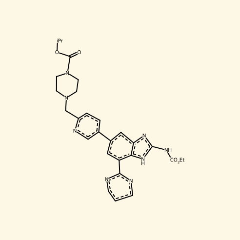 CCOC(=O)Nc1nc2cc(-c3ccc(CN4CCN(C(=O)OC(C)C)CC4)nc3)cc(-c3ncccn3)c2[nH]1